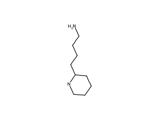 NCCCCC1CCCC[N]1